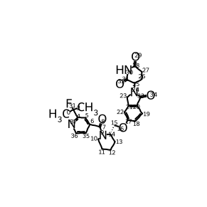 CC(C)(F)c1cc(C(=O)N2CCCC[C@H]2COc2ccc3c(c2)CN(C2CCC(=O)NC2=O)C3=O)ccn1